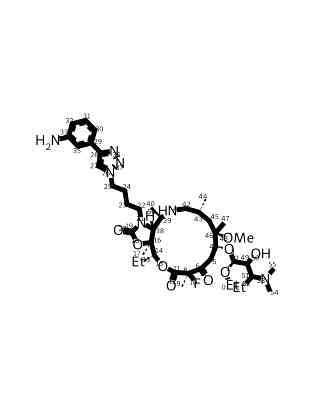 CCO[C@@H](O[C@@H]1CC(=O)[C@@](C)(F)C(=O)O[C@H](CC)[C@@]2(C)OC(=O)N(CCCCn3cc(-c4cccc(N)c4)nn3)[C@@H]2[C@@H](C)NC[C@H](C)C[C@@]1(C)OC)C(O)C(CC)N(C)C